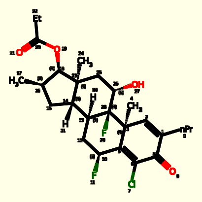 CCCC1=C[C@@]2(C)C(=C(Cl)C1=O)[C@@H](F)C[C@H]1[C@@H]3C[C@@H](C)[C@@H](OC(=O)CC)[C@@]3(C)C[C@H](O)[C@@]12F